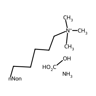 CCCCCCCCCCCCCC[N+](C)(C)C.N.O=C(O)O